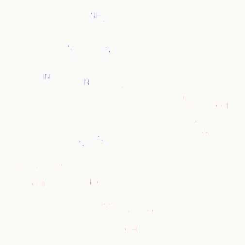 Nc1nc(Cl)nc(Nc2ccc(S(=O)(=O)O)c(N=Nc3c(O)c(S(=O)(=O)O)cc4cc(S(=O)(=O)O)ccc34)c2)n1